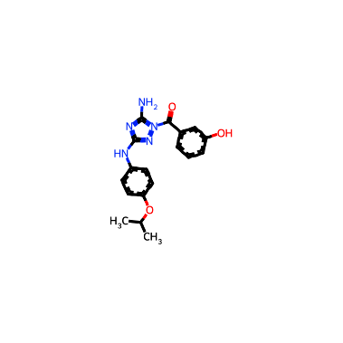 CC(C)Oc1ccc(Nc2nc(N)n(C(=O)c3cccc(O)c3)n2)cc1